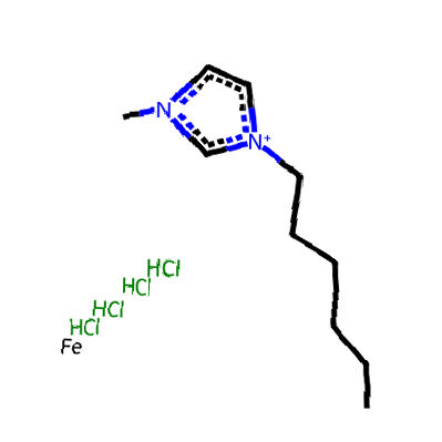 CCCCCC[n+]1ccn(C)c1.Cl.Cl.Cl.Cl.[Fe]